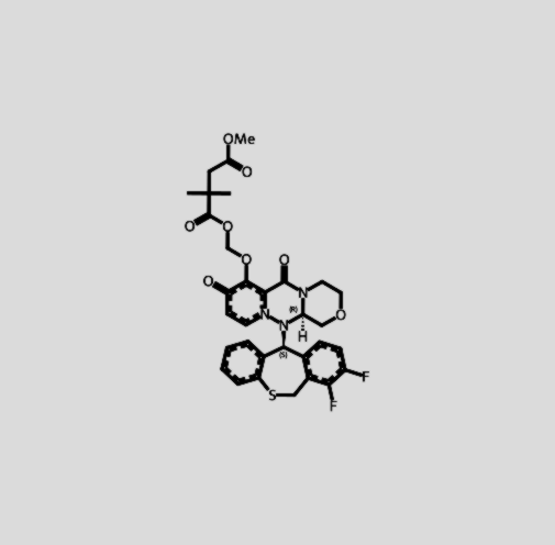 COC(=O)CC(C)(C)C(=O)OCOc1c2n(ccc1=O)N([C@@H]1c3ccccc3SCc3c1ccc(F)c3F)[C@@H]1COCCN1C2=O